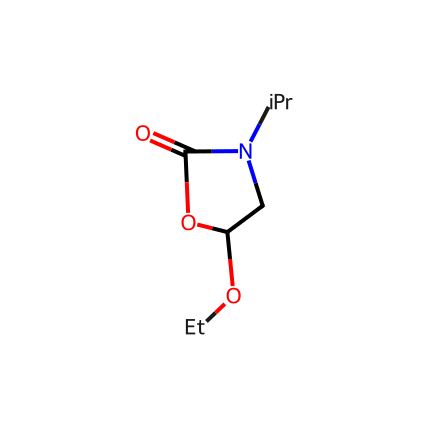 CCOC1CN(C(C)C)C(=O)O1